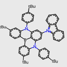 CC(C)(C)c1ccc(N2c3cc(C(C)(C)C)ccc3B3c4ccc(C(C)(C)C)cc4N(c4ccc(C(C)(C)C)cc4)c4cc(-n5c6ccccc6c6ccccc65)cc2c43)cc1